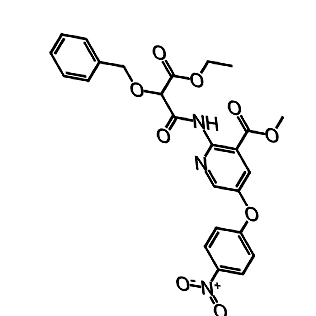 CCOC(=O)C(OCc1ccccc1)C(=O)Nc1ncc(Oc2ccc([N+](=O)[O-])cc2)cc1C(=O)OC